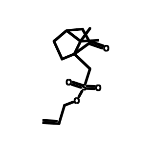 C=CCOS(=O)(=O)CC12CCC(CC1=O)C2(C)C